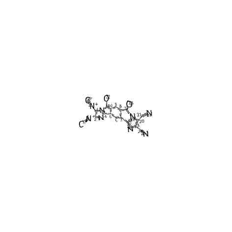 [C-]#[N+]c1nc2c3cc4c(cc3c(=O)n2c1[N+]#[C-])c(=O)n1c(C#N)c(C#N)nc41